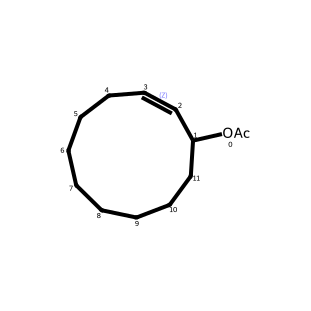 CC(=O)OC1/C=C\CCCCCCCC1